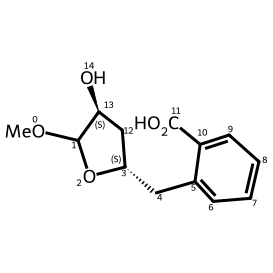 COC1O[C@@H](Cc2ccccc2C(=O)O)C[C@@H]1O